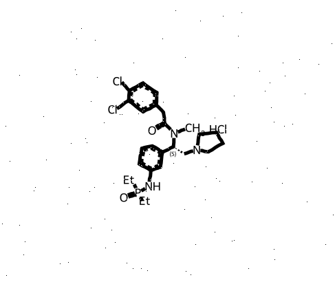 CCP(=O)(CC)Nc1cccc([C@@H](CN2CCCC2)N(C)C(=O)Cc2ccc(Cl)c(Cl)c2)c1.Cl